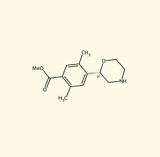 COC(=O)c1cc(C)c([C@H]2CNCCO2)cc1C